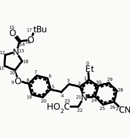 CCc1c(CCc2ccc(O[C@H]3CCN(C(=O)OC(C)(C)C)C3)cc2)n(CC(=O)O)c2cc(C#N)ccc12